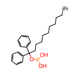 CC(C)CCCCCCCCCC(OP(O)O)(c1ccccc1)c1ccccc1